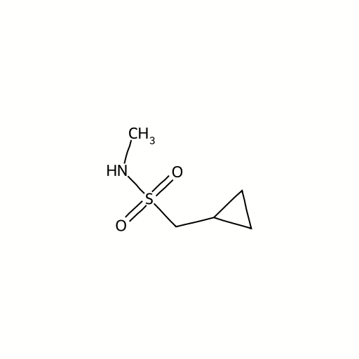 CNS(=O)(=O)CC1CC1